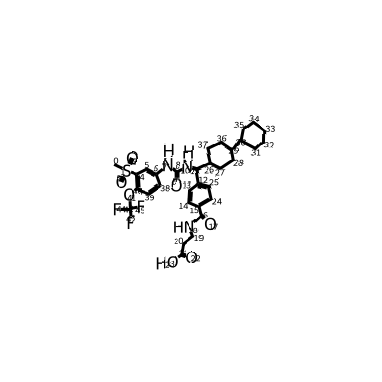 CS(=O)(=O)c1cc(NC(=O)NC(c2ccc(C(=O)NCCC(=O)O)cc2)C2CCC(C3CCCCC3)CC2)ccc1OC(F)(F)F